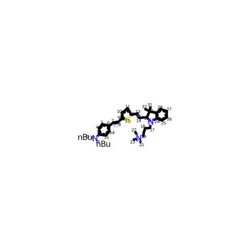 CCCCN(CCCC)c1ccc(/C=C/c2ccc(/C=C/C3N(CCC[N+](C)(C)C)c4ccccc4C3(C)C)s2)cc1